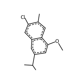 COc1cc(C(C)C)cc2cc(Cl)c(C)cc12